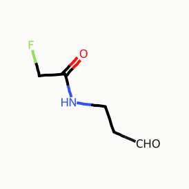 O=CCCNC(=O)CF